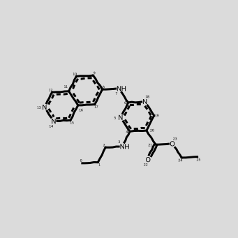 CCCNc1nc(Nc2ccc3cnncc3c2)ncc1C(=O)OCC